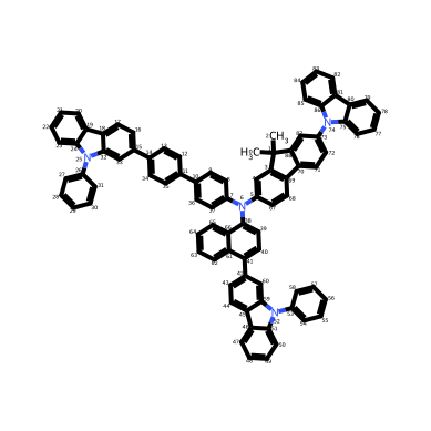 CC1(C)c2cc(N(c3ccc(-c4ccc(-c5ccc6c7ccccc7n(-c7ccccc7)c6c5)cc4)cc3)c3ccc(-c4ccc5c6ccccc6n(-c6ccccc6)c5c4)c4ccccc34)ccc2-c2ccc(-n3c4ccccc4c4ccccc43)cc21